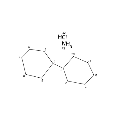 C1CCC(C2CCCCC2)CC1.Cl.N